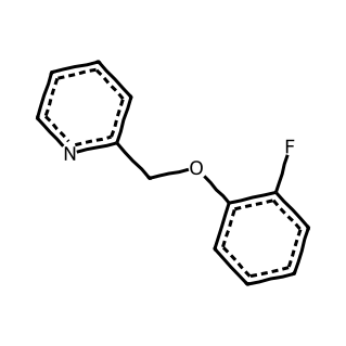 Fc1ccccc1OCc1ccccn1